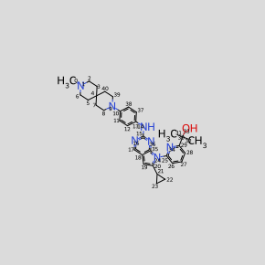 CN1CCC2(CC1)CCN(c1ccc(Nc3ncc4cc(C5CC5)n(-c5cccc(C(C)(C)O)n5)c4n3)cc1)CC2